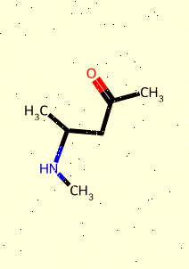 CNC(C)CC(C)=O